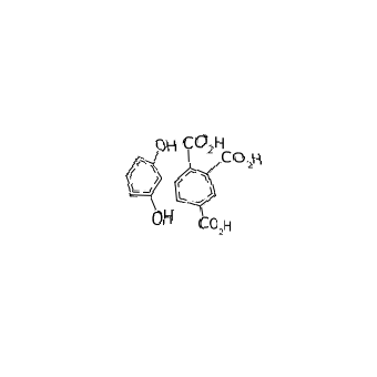 O=C(O)c1ccc(C(=O)O)c(C(=O)O)c1.Oc1cccc(O)c1